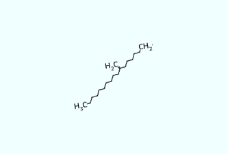 [CH2]CCCCCC(=C)CCCCCCCCCC